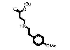 COc1ccc(CCNCCC(=O)OC(C)(C)C)cc1